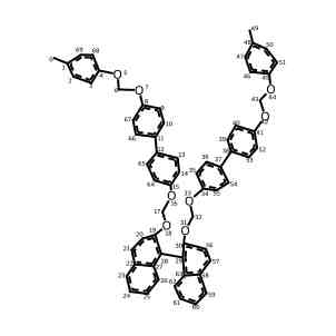 Cc1ccc(OCOc2ccc(-c3ccc(OCOc4ccc5ccccc5c4-c4c(OCOc5ccc(-c6ccc(OCOc7ccc(C)cc7)cc6)cc5)ccc5ccccc45)cc3)cc2)cc1